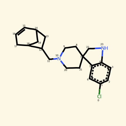 Clc1ccc2c(c1)C1(CCN(CC3CC4C=CCC3C4)CC1)CN2